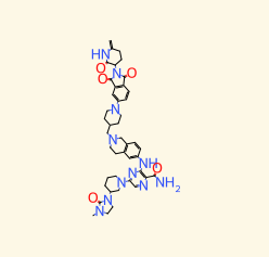 C=C1CCC(N2C(=O)c3ccc(N4CCC(CN5CCc6cc(Nc7nc(N8CCC[C@@H](N9CCN(C)C9=O)C8)cnc7C(N)=O)ccc6C5)CC4)cc3C2=O)C(=O)N1